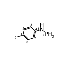 Cc1ccc(NP)cc1